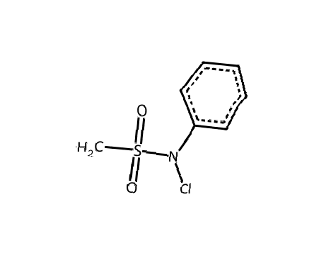 [CH2]S(=O)(=O)N(Cl)c1ccccc1